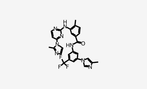 Cc1cn(-c2cc(NC(=O)c3ccc(C)c(Nc4nccc(-n5ccnc5C)n4)c3)cc(C(F)(F)F)c2)cn1